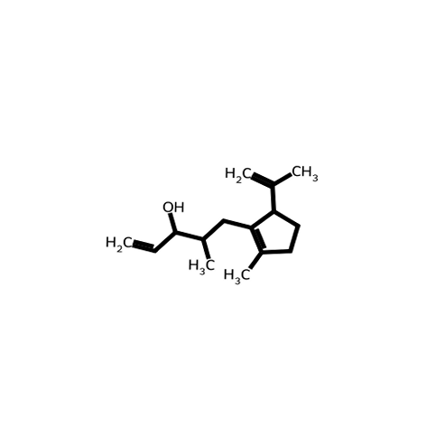 C=CC(O)C(C)CC1=C(C)CCC1C(=C)C